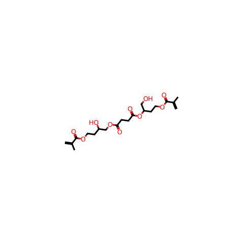 C=C(C)C(=O)OCCC(O)COC(=O)CCC(=O)OC(CO)CCOC(=O)C(=C)C